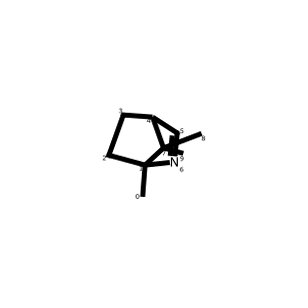 CC12CCC(C=N1)C2(C)C